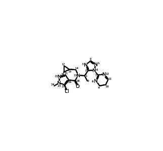 CC(c1ncnn1C1=NCCC=N1)N(CC1CC1)C(=O)c1cnn(C)c1Cl